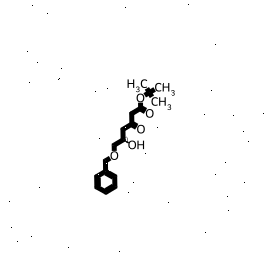 CC(C)(C)OC(=O)CC(=O)C[C@H](O)COCc1ccccc1